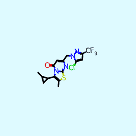 Cc1sc2nc(Cn3nc(C(F)(F)F)cc3Cl)cc(=O)n2c1C1CC1C